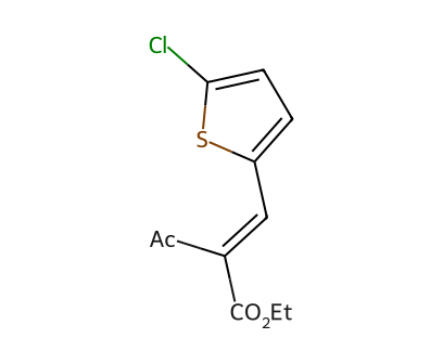 CCOC(=O)C(=Cc1ccc(Cl)s1)C(C)=O